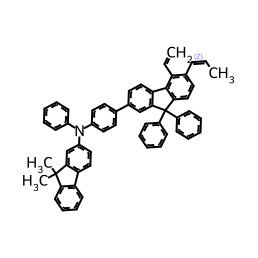 C=Cc1c(/C=C\C)ccc2c1-c1ccc(-c3ccc(N(c4ccccc4)c4ccc5c(c4)C(C)(C)c4ccccc4-5)cc3)cc1C2(c1ccccc1)c1ccccc1